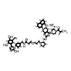 C=C(F)C(=O)N1CCN(c2nc(OC[C@@H]3CCCN3CCCOC=CC(=O)NCc3ccc(-n4c(O)nnc4-c4cc(C(C)C)c(O)cc4O)cc3)nc3c2CCN(c2cccc4cccc(Cl)c24)C3)C[C@@H]1CC#N